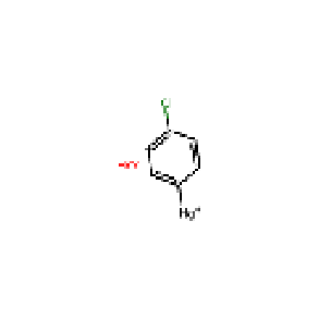 Clc1cc[c]([Hg+])cc1.[OH-]